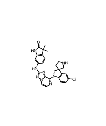 CC1(C)C(=O)Nc2cc(Nc3nc4c(N5CC6(CCNC6)c6cc(Cl)ccc65)nccn4n3)ccc21